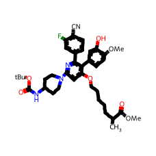 COC(=O)C(C)CCCCCOc1cc(N2CCC(NC(=O)OC(C)(C)C)CC2)nc(-c2ccc(C#N)c(F)c2)c1-c1ccc(OC)c(O)c1